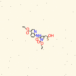 C=CCOC(=O)c1ccnc2c(NC(=O)[C@@H]3C[C@@H](CC(O)=S)CN3C(=O)OCC=C)cccc12